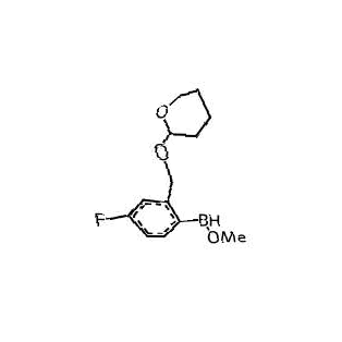 COBc1ccc(F)cc1COC1CCCCO1